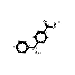 COC(=O)c1ccc([C@H](O)c2ccccc2)cc1